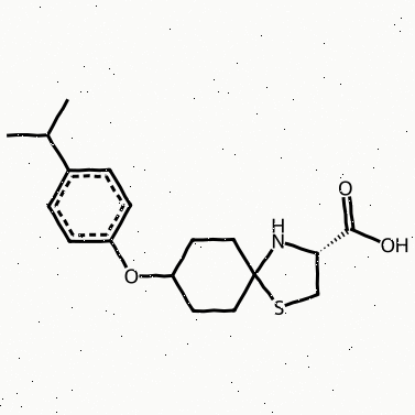 CC(C)c1ccc(OC2CCC3(CC2)N[C@H](C(=O)O)CS3)cc1